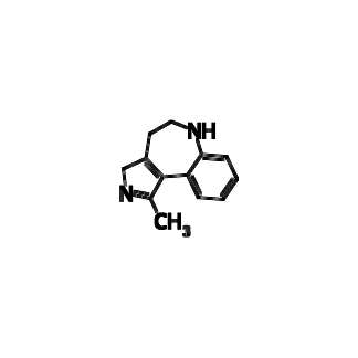 CC1=NCC2=C1c1ccccc1NCC2